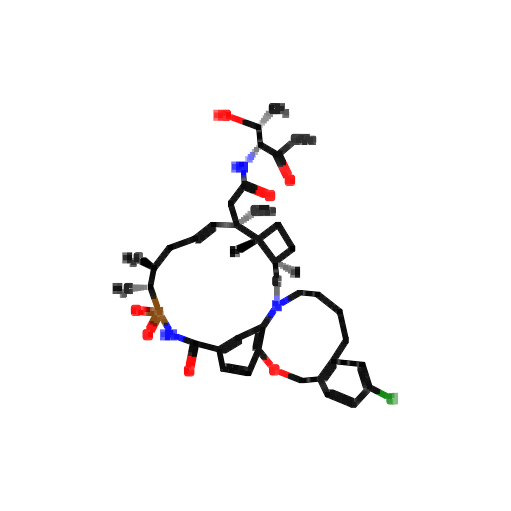 COC(=O)[C@H](NC(=O)C[C@]1(OC)/C=C/C[C@H](C)[C@@H](C)S(=O)(=O)NC(=O)c2ccc3c(c2)N(CCCCc2cc(Cl)ccc2CO3)C[C@@H]2CC[C@H]21)[C@@H](C)O